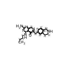 CCCCNc1nc(N)nc2cnn(Cc3ccc4c(c3)CCNC4)c(=O)c12